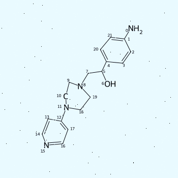 Nc1ccc(C(O)CN2CCN(c3ccncc3)CC2)cc1